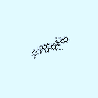 COc1cc(-c2csc3c(C(=O)N[C@H]4CCCNC4)cnc(N)c23)ccc1NC(=O)c1cc2ccccc2n1C